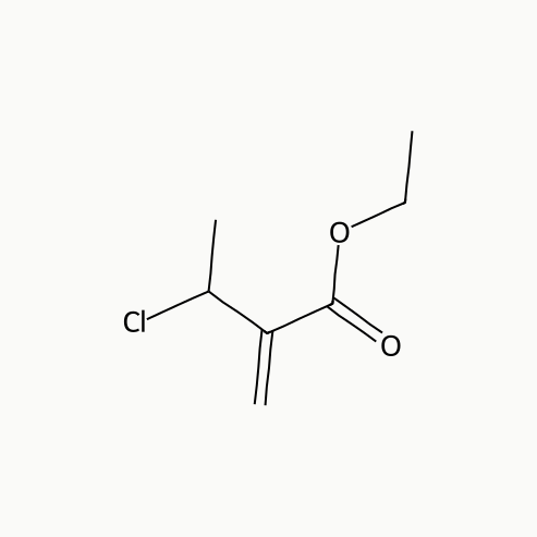 C=C(C(=O)OCC)C(C)Cl